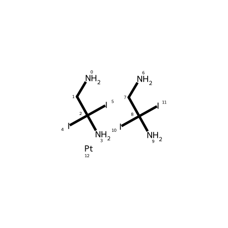 NCC(N)(I)I.NCC(N)(I)I.[Pt]